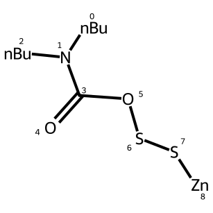 CCCCN(CCCC)C(=O)OS[S][Zn]